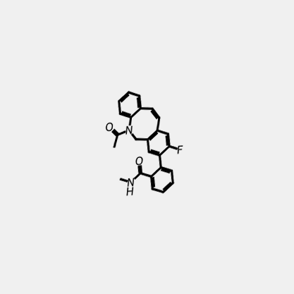 CNC(=O)c1ccccc1-c1cc2c(cc1F)C=Cc1ccccc1N(C(C)=O)C2